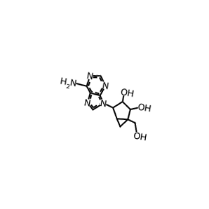 Nc1ncnc2c1ncn2C1C(O)C(O)C2(CO)CC12